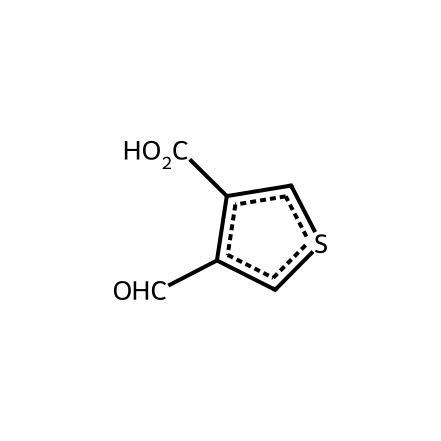 O=Cc1cscc1C(=O)O